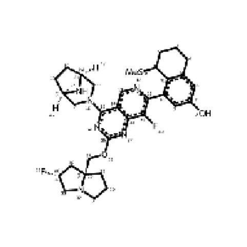 CSC1CCCc2cc(O)cc(-c3ncc4c(N5C[C@H]6CC[C@@H](C5)N6)nc(OC[C@@]56CCCN5C[C@H](F)C6)nc4c3F)c21